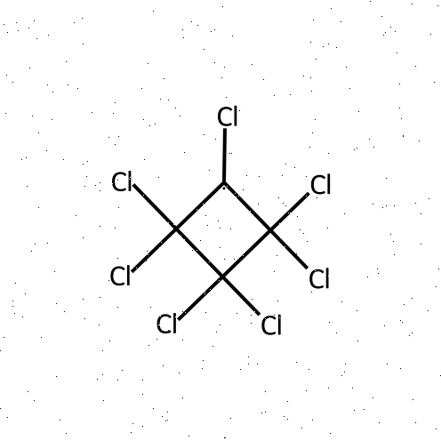 Cl[C]1C(Cl)(Cl)C(Cl)(Cl)C1(Cl)Cl